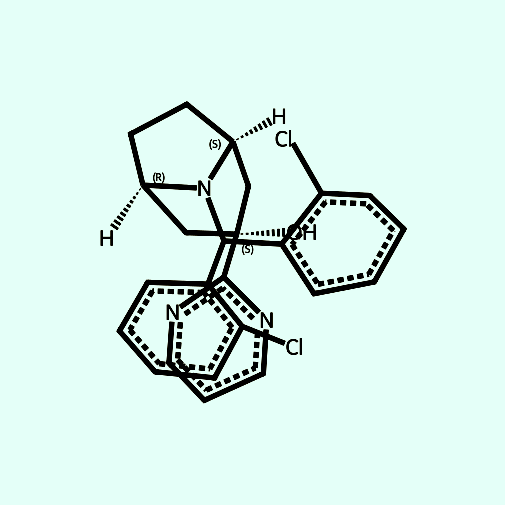 O[C@]1(c2ncccn2)C[C@H]2CC[C@@H](C1)N2C(c1ccccc1Cl)c1ccccc1Cl